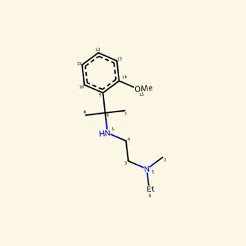 CCN(C)CCNC(C)(C)c1ccccc1OC